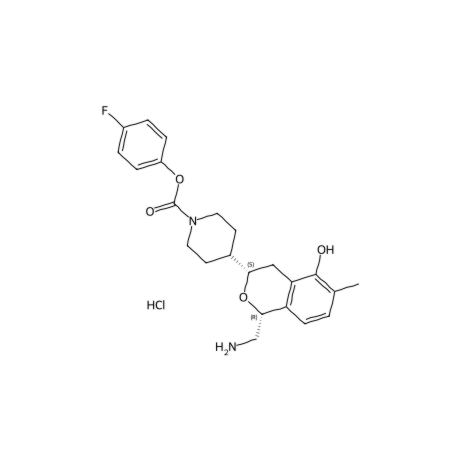 Cc1ccc2c(c1O)C[C@@H](C1CCN(C(=O)Oc3ccc(F)cc3)CC1)O[C@H]2CN.Cl